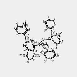 Cc1onc(-c2ccccc2)c1CNc1nc(-c2cncnc2)nc2cccc(-c3ccccc3)c12